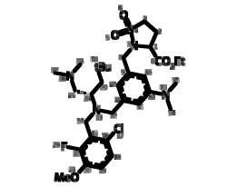 CCOC(=O)C1CCS(=O)(=O)N1Cc1cc(CN(Cc2c(Cl)ccc(OC)c2F)[C@H](CN(C)C)CC(C)(C)C)cc(N(C)C)c1